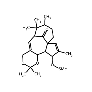 CSOC1C(C)=CC23CCC(C)C(C)(C)C(C=C4COC(C)(C)OC4C12)C3=O